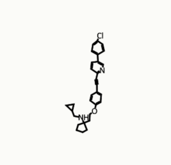 Clc1ccc(-c2ccc(C#Cc3ccc(OCCC4(NCC5CC5)CCCC4)cc3)nc2)cc1